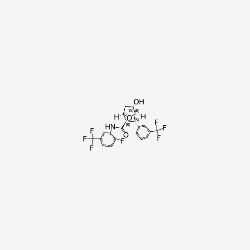 O=C(Nc1cc(C(F)(F)F)ccc1F)[C@@H]1[C@@H](c2cccc(C(F)(F)F)c2)[C@H]2O[C@@H]1C[C@@H]2O